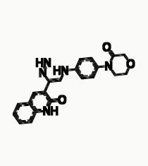 N=N/C(=C\Nc1ccc(N2CCOCC2=O)cc1)c1cc2ccccc2[nH]c1=O